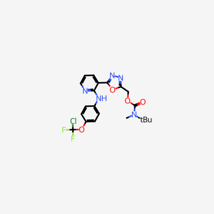 CN(C(=O)OCc1nnc(-c2cccnc2Nc2ccc(OC(F)(F)Cl)cc2)o1)C(C)(C)C